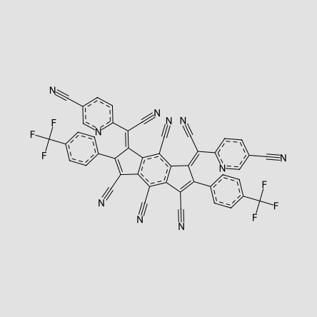 N#CC1=C(c2ccc(C(F)(F)F)cc2)/C(=C(/C#N)c2ccc(C#N)cn2)c2c(C#N)c3c(c(C#N)c21)C(C#N)=C(c1ccc(C(F)(F)F)cc1)/C3=C(/C#N)c1ccc(C#N)cn1